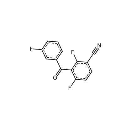 N#Cc1ccc(F)c(C(=O)c2cccc(F)c2)c1F